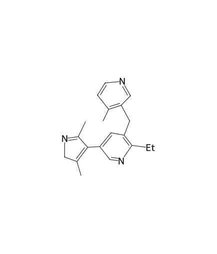 CCc1ncc(C2=C(C)CN=C2C)cc1Cc1cnccc1C